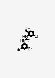 O=C(Nc1cc(Br)cc(Br)c1)Nc1cc(Cl)ccc1CO